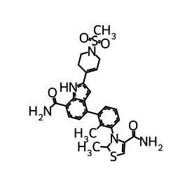 Cc1c(-c2ccc(C(N)=O)c3[nH]c(C4=CCN(S(C)(=O)=O)CC4)cc23)cccc1N1C(C(N)=O)=CSC1C